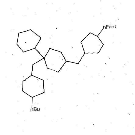 CCCCCC1CCC(CC2CCC(CC3CCC(CCCC)CC3)(C3CCCCC3)CC2)CC1